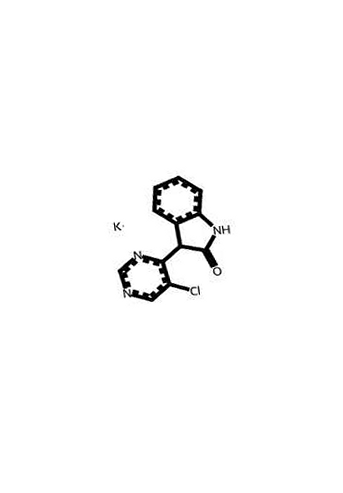 O=C1Nc2ccccc2C1c1ncncc1Cl.[K]